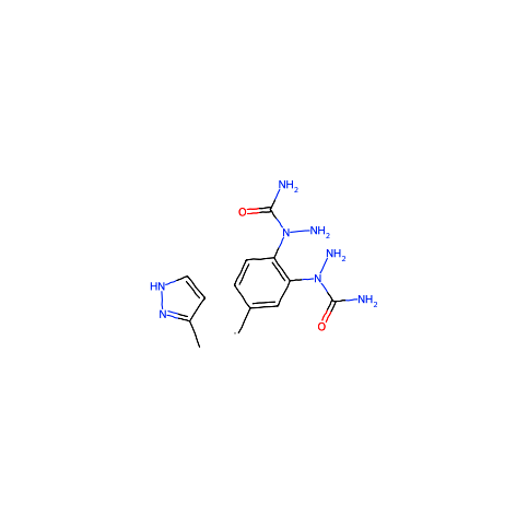 Cc1cc[nH]n1.[CH2]c1ccc(N(N)C(N)=O)c(N(N)C(N)=O)c1